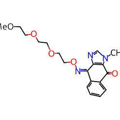 COCCOCCOCCON=C1c2ccccc2C(=O)c2c1ncn2C